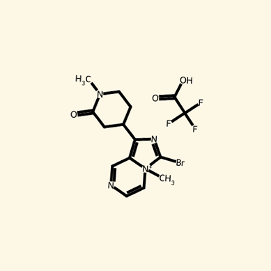 CN1CCC(C2=C3C=NC=C[N+]3(C)C(Br)=N2)CC1=O.O=C(O)C(F)(F)F